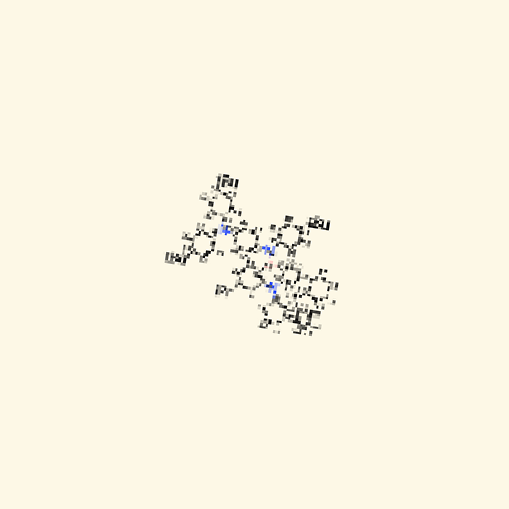 CC(C)c1cc2c3c(c1)N1c4ccccc4C4(c5ccccc5-c5ccccc54)c4cccc(c41)B3N(c1ccc(C(C)(C)C)cc1)c1ccc(N(c3ccc(C(C)(C)C)cc3)c3ccc(C(C)(C)C)cc3)cc1-2